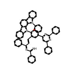 N=C(/N=C(\C=C\c1cc(-c2cc(-c3ccccc3)nc(-c3ccccc3)n2)ccc1-n1c2ccccc2c2ccc3c4ccccc4n(-c4ccccc4)c3c21)c1ccccc1)c1ccccc1